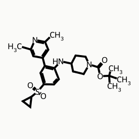 Cc1cc(-c2cc(S(=O)(=O)C3CC3)ccc2NC2CCN(C(=O)OC(C)(C)C)CC2)cc(C)n1